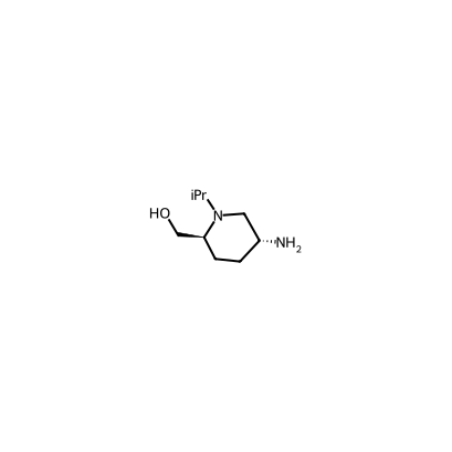 CC(C)N1C[C@H](N)CC[C@H]1CO